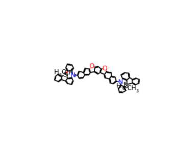 C[Si]1(C)c2ccccc2-c2cccc(N(c3ccccc3)c3ccc4cc5c(cc4c3)oc3cc4oc6cc7cc(N(c8ccccc8)c8cccc9c8[Si](C)(C)c8ccccc8-9)ccc7cc6c4cc35)c21